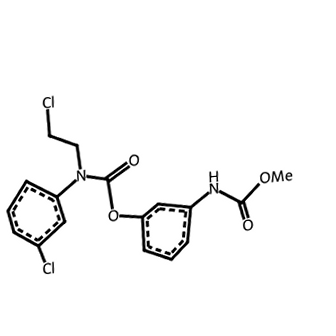 COC(=O)Nc1cccc(OC(=O)N(CCCl)c2cccc(Cl)c2)c1